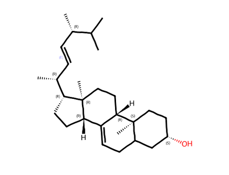 CC(C)[C@@H](C)/C=C/[C@@H](C)[C@H]1CC[C@H]2C3=CCC4C[C@@H](O)CC[C@]4(C)[C@H]3CC[C@]12C